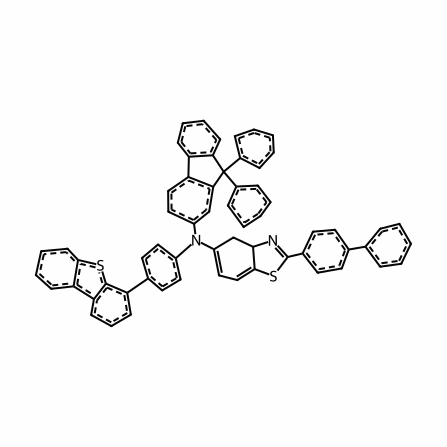 C1=C2SC(c3ccc(-c4ccccc4)cc3)=NC2CC(N(c2ccc(-c3cccc4c3sc3ccccc34)cc2)c2ccc3c(c2)C(c2ccccc2)(c2ccccc2)c2ccccc2-3)=C1